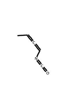 CC=C=CN=C=O